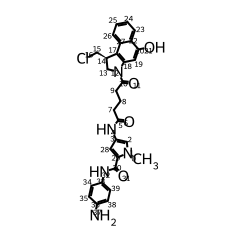 Cn1cc(NC(=O)CCCC(=O)N2C[C@@H](CCl)c3c2cc(O)c2ccccc32)cc1C(=O)Nc1ccc(N)cc1